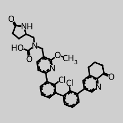 COc1nc(-c2cccc(-c3cccc(-c4cnc5c(c4)CCCC5=O)c3Cl)c2Cl)ccc1CN(CC1CCC(=O)N1)C(=O)O